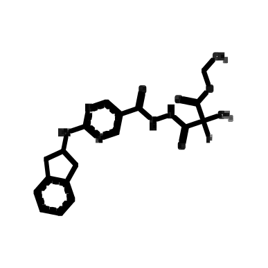 CCOC(=O)C(C)(F)C(=O)NNC(=O)c1cnc(NC2Cc3ccccc3C2)nc1